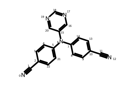 N#Cc1ccc(N(c2ccc(C#N)cc2)c2cncnc2)cc1